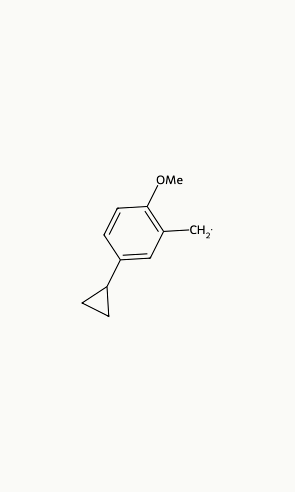 [CH2]c1cc(C2CC2)ccc1OC